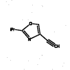 C#Cc1coc(C(C)C)n1